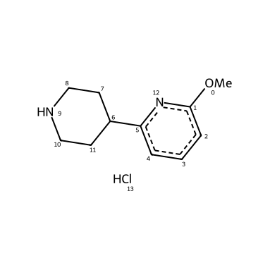 COc1cccc(C2CCNCC2)n1.Cl